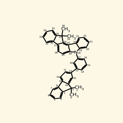 CC1(C)c2ccccc2-c2ccc(-c3cccc(-n4c5ccccc5c5c6c(ccc54)-c4ccccc4C6(C)C)c3)cc21